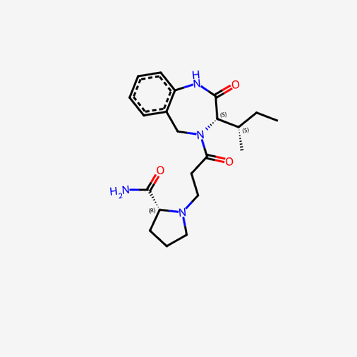 CC[C@H](C)[C@H]1C(=O)Nc2ccccc2CN1C(=O)CCN1CCC[C@@H]1C(N)=O